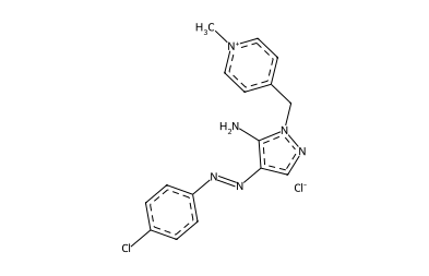 C[n+]1ccc(Cn2ncc(N=Nc3ccc(Cl)cc3)c2N)cc1.[Cl-]